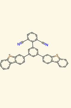 N#Cc1cccc(C#N)c1-c1cc(-c2ccc3c(c2)sc2ccccc23)cc(-c2ccc3c(c2)sc2ccccc23)c1